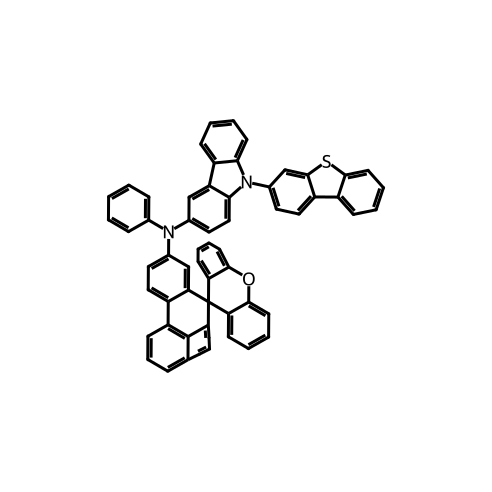 c1ccc(N(c2ccc3c(c2)C2(c4ccccc4Oc4ccccc42)c2cccc4cccc-3c24)c2ccc3c(c2)c2ccccc2n3-c2ccc3c(c2)sc2ccccc23)cc1